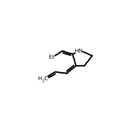 C=C/C=C1/CCN/C1=C/CC